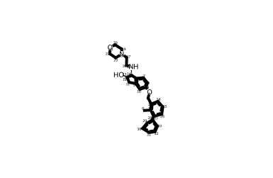 Cc1c(COc2ccc3c(c2)C[C@H](O)[C@@H]3NCCN2CCOCC2)cccc1-c1ccccc1